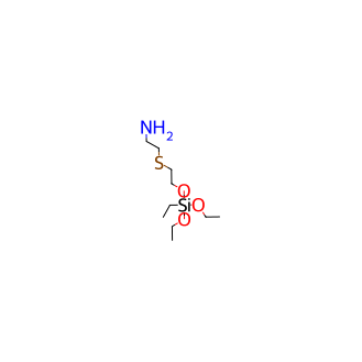 CCO[Si](CC)(OCC)OCCSCCN